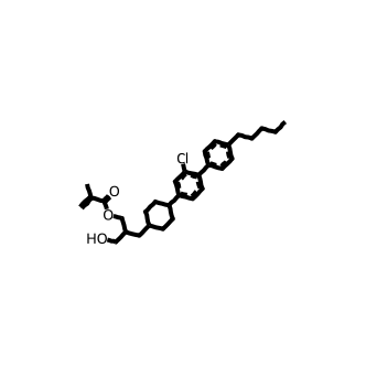 C=C(C)C(=O)OCC(CO)CC1CCC(c2ccc(-c3ccc(CCCCC)cc3)c(Cl)c2)CC1